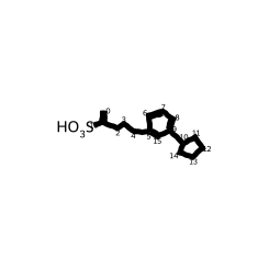 C=C(CCCc1cccc(C2CCCC2)c1)S(=O)(=O)O